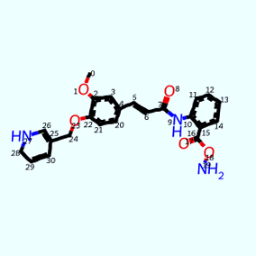 COc1cc(/C=C/C(=O)Nc2ccccc2C(=O)ON)ccc1OCC1=CNCC=C1